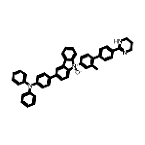 Cc1cc([N+]2([O-])c3ccccc3-c3cc(-c4ccc(N(c5ccccc5)c5ccccc5)cc4)ccc32)ccc1-c1ccc(C2=NCCCN2)cc1